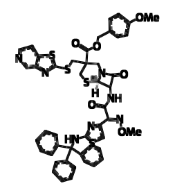 CON=C(C(=O)NC1C(=O)N2CC(CSc3nc4cnccc4s3)(C(=O)OCc3ccc(OC)cc3)CS[C@H]12)c1csc(NC(c2ccccc2)(c2ccccc2)c2ccccc2)n1